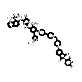 COc1cc(N2CCC(C3CCN(CC4CCN(c5ccc6c(c5)C(=O)N(C5CCC(=O)NC5=O)C6=O)CC4)CC3)CC2)c(-c2cnn(C)c2)cc1Nc1ncc(Cl)c(Nc2ccc3nccnc3c2P(C)(C)=O)n1